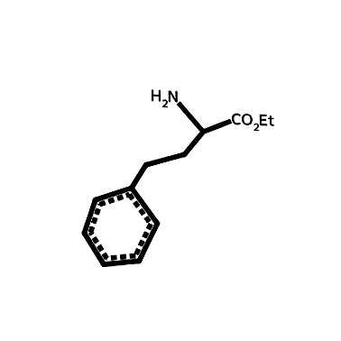 CCOC(=O)C(N)CCc1ccccc1